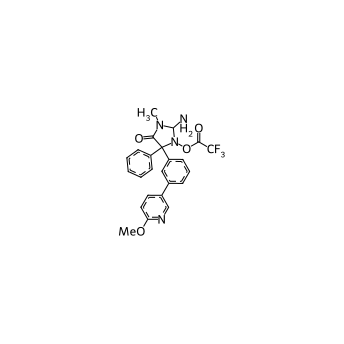 COc1ccc(-c2cccc(C3(c4ccccc4)C(=O)N(C)C(N)N3OC(=O)C(F)(F)F)c2)cn1